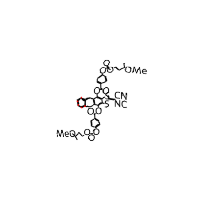 [C-]#[N+]C(C#N)=C1Sc2c(OC(=O)c3ccc(OC(=O)OCCC(C)OC)cc3)c3c(c(OC(=O)c4ccc(OC(=O)OCCC(C)OC)cc4)c2S1)C1c2ccccc2C3c2ccccc21